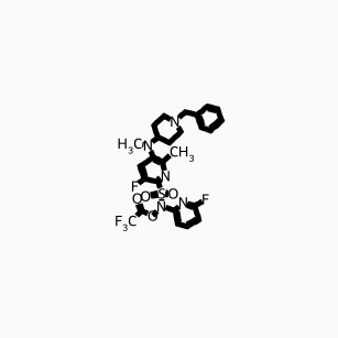 Cc1nc(S(=O)(=O)N(OC(=O)C(F)(F)F)c2cccc(F)n2)c(F)cc1N(C)C1CCN(Cc2ccccc2)CC1